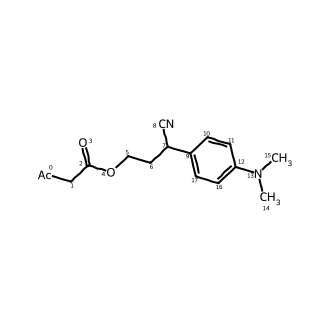 CC(=O)CC(=O)OCCC(C#N)c1ccc(N(C)C)cc1